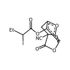 CCC(I)C(=O)Oc1c2oc3c1OC(=O)C3(C#N)C2